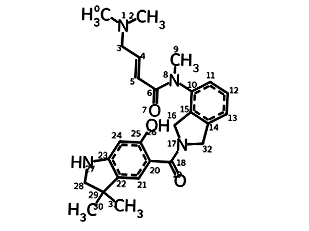 CN(C)C/C=C/C(=O)N(C)c1cccc2c1CN(C(=O)c1cc3c(cc1O)NCC3(C)C)C2